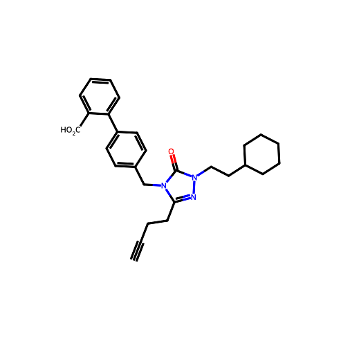 C#CCCc1nn(CCC2CCCCC2)c(=O)n1Cc1ccc(-c2ccccc2C(=O)O)cc1